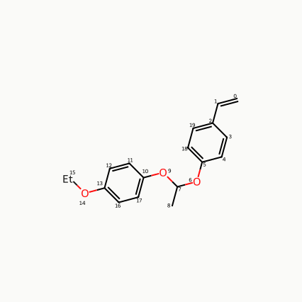 C=Cc1ccc(OC(C)Oc2ccc(OCC)cc2)cc1